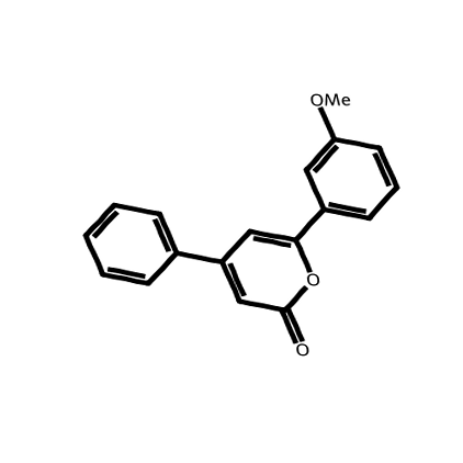 COc1cccc(-c2cc(-c3ccccc3)cc(=O)o2)c1